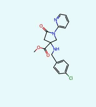 COC(=O)C1(NCc2ccc(Cl)cc2)CC(=O)N(c2ccccn2)C1